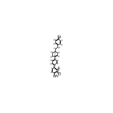 CCCc1ccc(-c2ccc(C3=CCC(CCc4ccc(CC)cc4)CC3)cc2)c(F)c1Cl